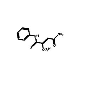 NC(=O)C=C(C(=O)O)C(=S)Nc1ccccc1